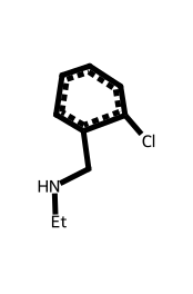 [CH2]CNCc1ccccc1Cl